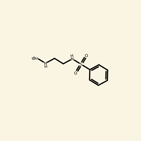 CC(C)(C)NCCNS(=O)(=O)c1ccccc1